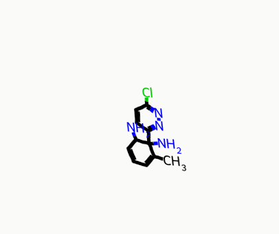 CC1=CC=CC(N)C1(N)c1ccc(Cl)nn1